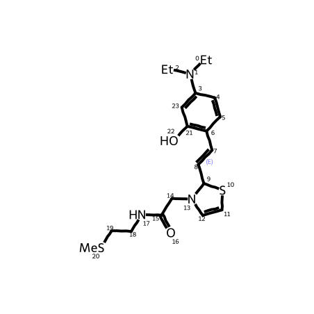 CCN(CC)c1ccc(/C=C/C2SC=CN2CC(=O)NCCSC)c(O)c1